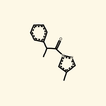 Cc1cnn(C(=O)C(C)c2ccccc2)c1